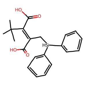 CC(C)(C)/C(C(=O)O)=C(/C[SiH](c1ccccc1)c1ccccc1)C(=O)O